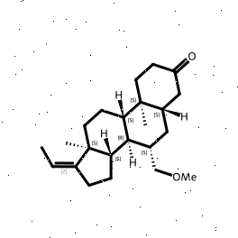 C/C=C1/CC[C@H]2[C@@H]3[C@@H](COC)C[C@H]4CC(=O)CC[C@]4(C)[C@H]3CC[C@]12C